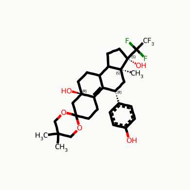 CC1(C)COC2(CCC3=C4C(CC[C@@]3(O)C2)C2CC[C@@](O)(C(F)(F)C(F)(F)F)[C@@]2(C)C[C@@H]4c2ccc(O)cc2)OC1